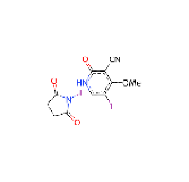 COc1c(I)c[nH]c(=O)c1C#N.O=C1CCC(=O)N1I